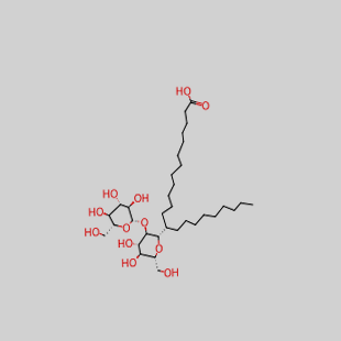 CCCCCCCCCC(CCCCCCCCCCCC(=O)O)[C@@H]1O[C@H](CO)[C@@H](O)[C@H](O)[C@H]1O[C@@H]1O[C@H](CO)[C@@H](O)[C@H](O)[C@H]1O